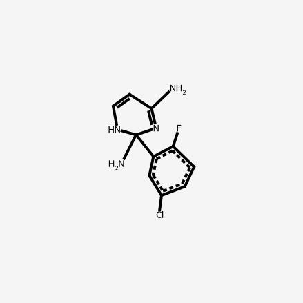 NC1=NC(N)(c2cc(Cl)ccc2F)NC=C1